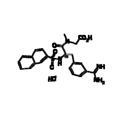 CN(CC(=O)O)C(=O)[C@H](Cc1cccc(C(=N)N)c1)NS(=O)(=O)c1ccc2ccccc2c1.Cl